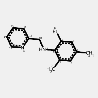 CCc1cc(C)cc(C)c1NCc1ccccn1